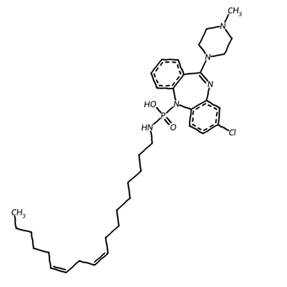 CCCCC/C=C\C/C=C\CCCCCCCCNP(=O)(O)N1c2ccc(Cl)cc2N=C(N2CCN(C)CC2)c2ccccc21